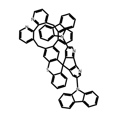 c1ccc2c(c1)Cc1cccnc1-c1ncccc1Cc1cc3c(cc1-2)C1(c2ccccc2S3)c2cc(-n3c4ccccc4c4ccccc43)cnc2-c2ncc(-n3c4ccccc4c4ccccc43)cc21